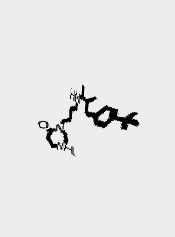 CC(Cc1ccc(C(C)(C)C)cc1)C(C)NCCCCN1CCNCCC1=O